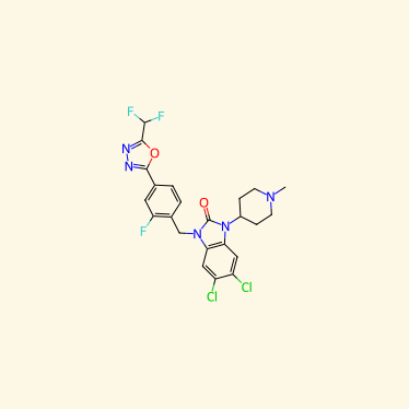 CN1CCC(n2c(=O)n(Cc3ccc(-c4nnc(C(F)F)o4)cc3F)c3cc(Cl)c(Cl)cc32)CC1